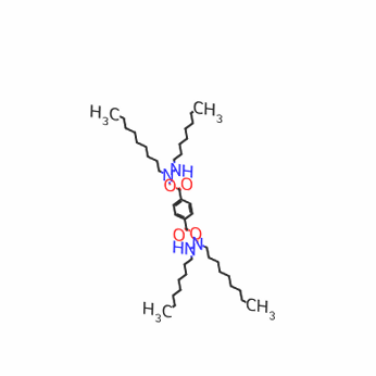 CCCCCCCCCN(NCCCCCCCC)OC(=O)c1ccc(C(=O)ON(CCCCCCCCC)NCCCCCCCC)cc1